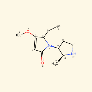 CC(C)CC1C(OC(C)(C)C)=CC(=O)N1[C@H]1CCN[C@H]1C